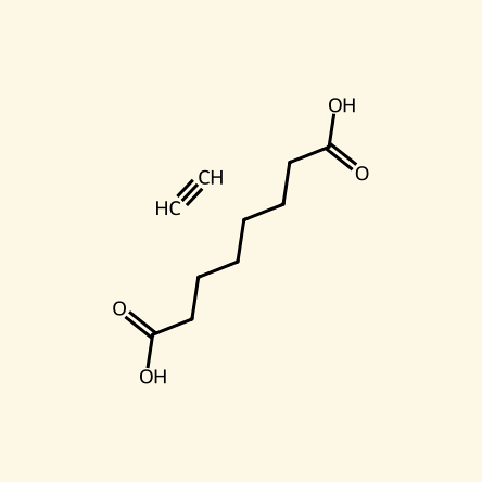 C#C.O=C(O)CCCCCCC(=O)O